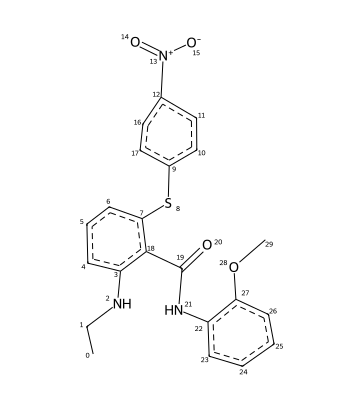 CCNc1cccc(Sc2ccc([N+](=O)[O-])cc2)c1C(=O)Nc1ccccc1OC